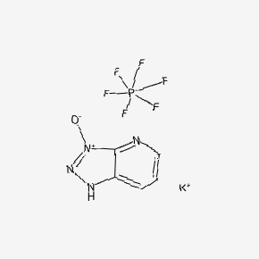 F[P-](F)(F)(F)(F)F.[K+].[O-][n+]1n[nH]c2cccnc21